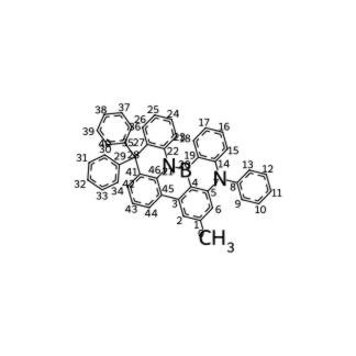 Cc1cc2c3c(c1)N(c1ccccc1)c1ccccc1B3N1c3ccccc3C(c3ccccc3)(c3ccccc3)c3cccc-2c31